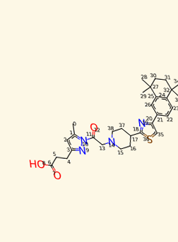 Cc1cc(CCC(=O)O)nn1C(=O)CN1CCC(c2nc(-c3ccc4c(c3)C(C)(C)CCC4(C)C)cs2)CC1